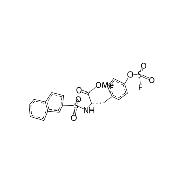 COC(=O)[C@H](Cc1ccc(OS(=O)(=O)F)cc1)NS(=O)(=O)c1ccc2ccccc2c1